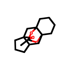 CC12OC34CCCC3CC3(CCCCC3(C4)O1)O2